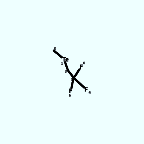 C[Te]CC(F)(F)F